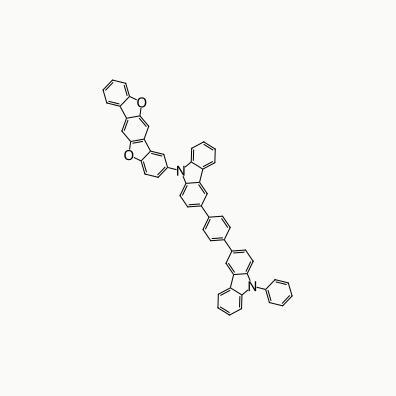 c1ccc(-n2c3ccccc3c3cc(-c4ccc(-c5ccc6c(c5)c5ccccc5n6-c5ccc6oc7cc8c(cc7c6c5)oc5ccccc58)cc4)ccc32)cc1